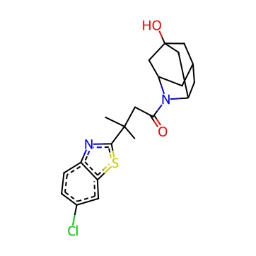 CC(C)(CC(=O)N1C2CC3CC1CC(O)(C3)C2)c1nc2ccc(Cl)cc2s1